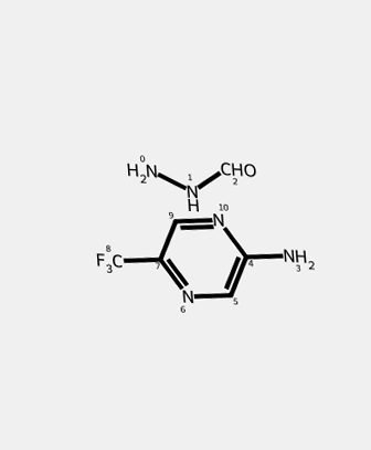 NNC=O.Nc1cnc(C(F)(F)F)cn1